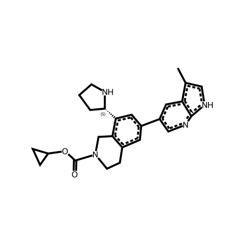 Cc1c[nH]c2ncc(-c3cc4c(c([C@@H]5CCCN5)c3)CN(C(=O)OC3CC3)CC4)cc12